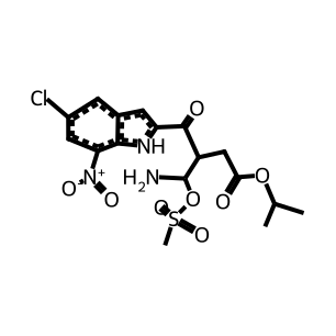 CC(C)OC(=O)CC(C(=O)c1cc2cc(Cl)cc([N+](=O)[O-])c2[nH]1)C(N)OS(C)(=O)=O